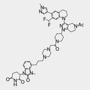 CC(=O)N1CCc2c(c(N3CCCc4cc(-c5cnn(C)c5)c(C(F)F)cc43)nn2C2CCN(C(=O)CN3CCN(CCCc4cccc5c4n(C)c(=O)n5C4CCC(=O)NC4=O)CC3)CC2)C1